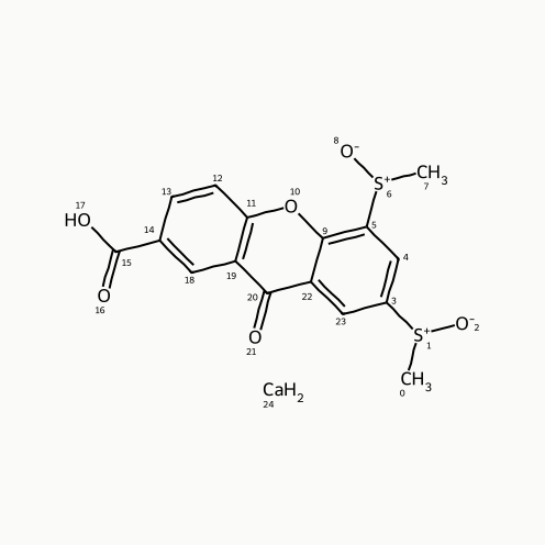 C[S+]([O-])c1cc([S+](C)[O-])c2oc3ccc(C(=O)O)cc3c(=O)c2c1.[CaH2]